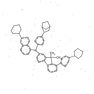 CC1(C)c2cc(N(c3ccc(C4CC5CCC4C5)cc3)c3cccc4cc(C5CCCCC5)ccc34)ccc2-c2cccc(-c3ccc(C4CCCCC4)cc3)c21